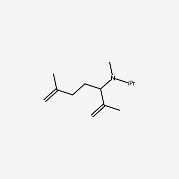 C=C(C)CCC(C(=C)C)N(C)C(C)C